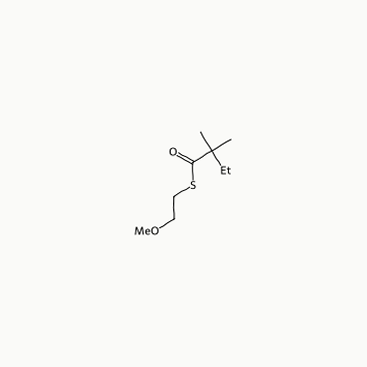 CCC(C)(C)C(=O)SCCOC